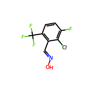 ON=Cc1c(C(F)(F)F)ccc(F)c1Cl